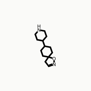 C1=NOC2(C1)CCC(C1CCNCC1)CC2